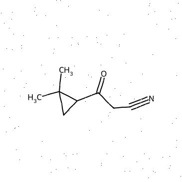 CC1(C)CC1C(=O)CC#N